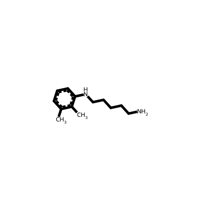 Cc1cccc(NCCCCCN)c1C